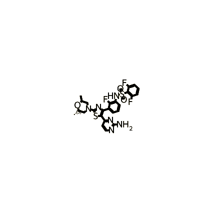 CC1CN(c2nc(-c3cccc(NS(=O)(=O)c4c(F)cccc4F)c3F)c(-c3ccnc(N)n3)s2)C[C@H](C)O1